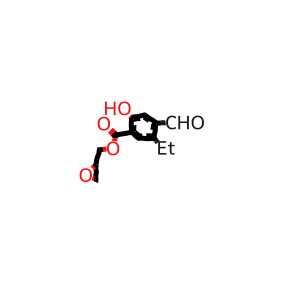 CCc1cc(C(=O)OCC2CO2)c(O)cc1C=O